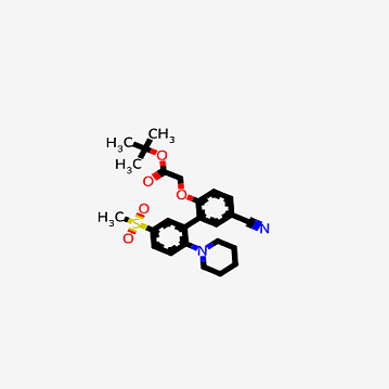 CC(C)(C)OC(=O)COc1ccc(C#N)cc1-c1cc(S(C)(=O)=O)ccc1N1CCCCC1